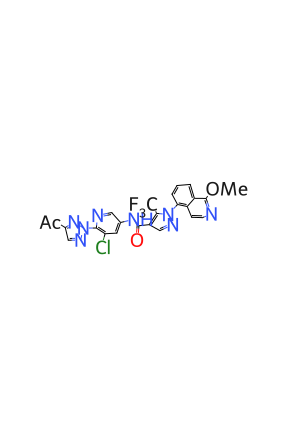 COc1nccc2c(-n3ncc(C(=O)Nc4cnc(-n5ncc(C(C)=O)n5)c(Cl)c4)c3C(F)(F)F)cccc12